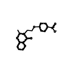 Cc1nc2ccccc2c(=O)n1CCOc1ccc([N+](=O)[O-])cc1